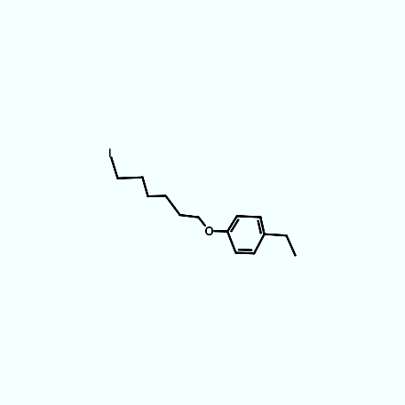 CCc1ccc(OCCCCCCI)cc1